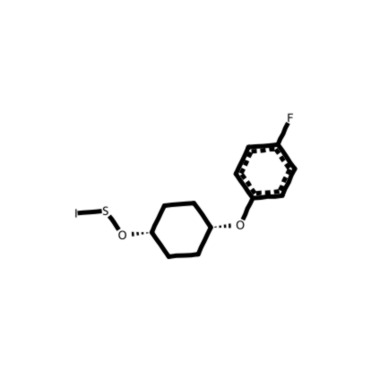 Fc1ccc(O[C@H]2CC[C@@H](OSI)CC2)cc1